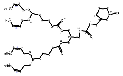 CCCCCC/C=C\COC(CCCCC(=O)OCC(COC(=O)CCCCC(OC/C=C\CCCCCC)OC/C=C\CCCCCC)COC(=O)OCC1CCCN(CC)C1)OC/C=C\CCCCCC